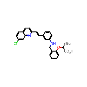 CCCC[C@H](Oc1ccccc1CNc1cccc(C=Cc2ccc3ccc(Cl)cc3n2)c1)C(=O)O